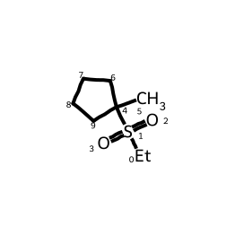 CCS(=O)(=O)C1(C)CCCC1